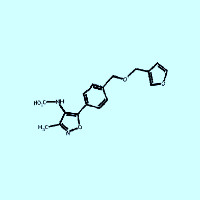 Cc1noc(-c2ccc(COCc3ccoc3)cc2)c1NC(=O)O